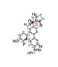 CCCn1nnc2cc(-c3ccc(C(=O)N4[C@@H]5CC[C@H]4C[C@@H](N)C5)cc3-c3ccc(C#N)c(F)c3)c(F)cc21